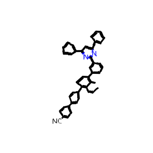 C/C=C\c1c(-c2ccc(-c3ccc(C#N)cc3)cc2)ccc(-c2cccc(-c3nc(-c4ccccc4)cc(-c4ccccc4)n3)c2)c1C